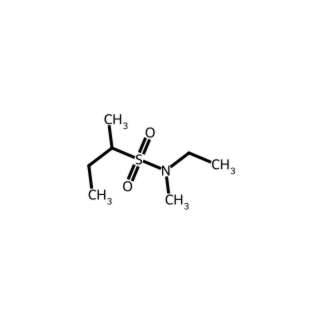 CCC(C)S(=O)(=O)N(C)CC